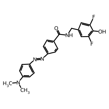 CN(C)c1ccc(/N=N/c2ccc(C(=O)NCc3cc(F)c(O)c(F)c3)cc2)cc1